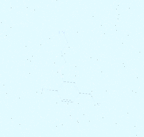 CSCc1ccc(C(C)(C)C)c(OCCCN)c1